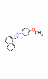 COC1=CCC(/N=C/c2cccc3ccccc23)C=C1